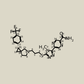 Cn1c(SCCCN2CC[C@]3(C[C@@H]3c3ccc(C(F)(F)F)cc3)C2)nnc1-c1cnc(C(N)=O)cn1